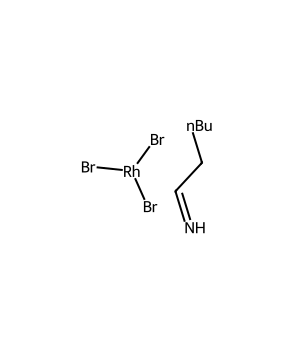 CCCCCC=N.[Br][Rh]([Br])[Br]